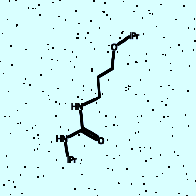 CC(C)NC(=O)NCCCOC(C)C